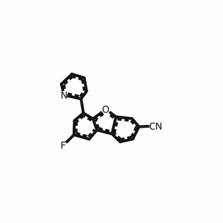 N#Cc1ccc2c(c1)oc1c(-c3ccccn3)cc(F)cc12